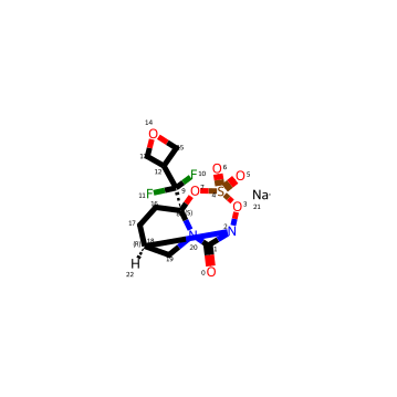 O=C1N2OS(=O)(=O)O[C@]3(C(F)(F)C4COC4)CC[C@@H]2CN13.[Na]